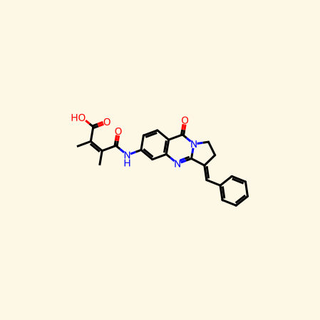 C/C(C(=O)O)=C(\C)C(=O)Nc1ccc2c(=O)n3c(nc2c1)/C(=C/c1ccccc1)CC3